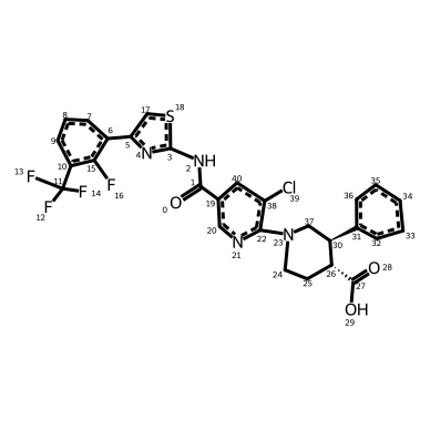 O=C(Nc1nc(-c2cccc(C(F)(F)F)c2F)cs1)c1cnc(N2CC[C@@H](C(=O)O)[C@H](c3ccccc3)C2)c(Cl)c1